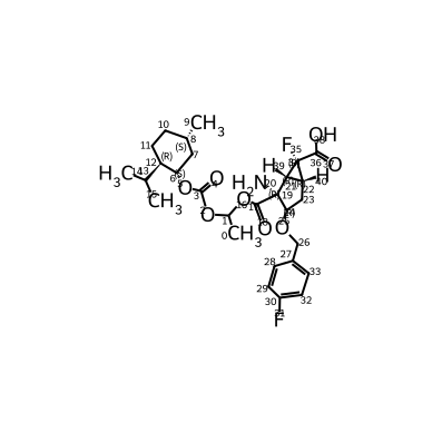 CC(OC(=O)O[C@H]1C[C@@H](C)CC[C@@H]1C(C)C)OC(=O)[C@@]1(N)[C@H]2[C@@H](C[C@H]1OCc1ccc(F)cc1)[C@]2(F)C(=O)O